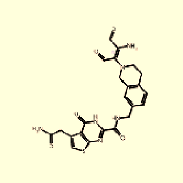 NC(=O)Cc1csc2nc(C(=O)NCc3ccc4c(c3)CN(/C(C=O)=C(\N)C=O)CC4)[nH]c(=O)c12